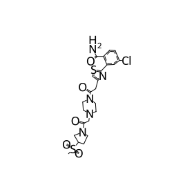 CS(=O)(=O)C1CCN(C(=O)CN2CCN(C(=O)Cc3csc(-c4cc(Cl)ccc4C(N)=O)n3)CC2)C1